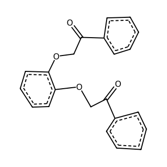 O=C(COc1ccccc1OCC(=O)c1ccccc1)c1ccccc1